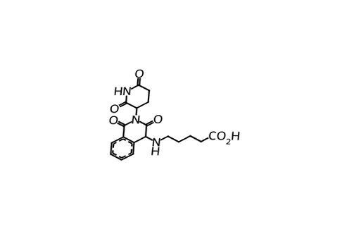 O=C(O)CCCCNC1C(=O)N(C2CCC(=O)NC2=O)C(=O)c2ccccc21